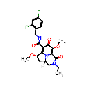 CCN1C[C@@H]2C[C@@H](OC)c3c(C(=O)NCc4ccc(F)cc4F)c(=O)c(OC)c(n32)C1=O